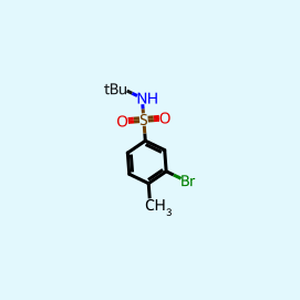 Cc1ccc(S(=O)(=O)NC(C)(C)C)cc1Br